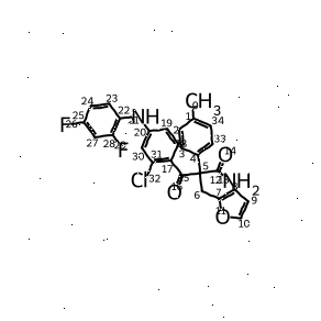 Cc1ccc(C(Cc2ccco2)(C(N)=O)C(=O)c2ccc(Nc3ccc(F)cc3F)cc2Cl)cc1